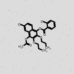 CCCOc1c(OCCC)c(OC(=O)c2ccccc2Cl)c2ccc(Cl)cc2c1OC(C)=O